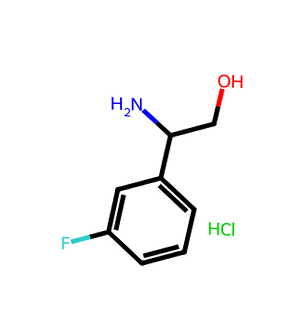 Cl.NC(CO)c1cccc(F)c1